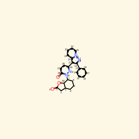 O=C1CC2CCCC(n3nc(-c4c(-c5ccccc5)nn5ccccc45)ccc3=O)C2O1